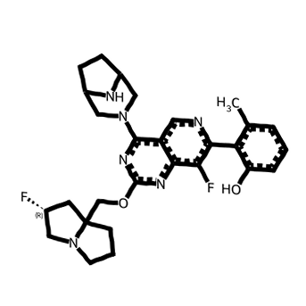 Cc1cccc(O)c1-c1ncc2c(N3CC4CCC(C3)N4)nc(OCC34CCCN3C[C@H](F)C4)nc2c1F